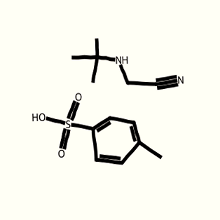 CC(C)(C)NCC#N.Cc1ccc(S(=O)(=O)O)cc1